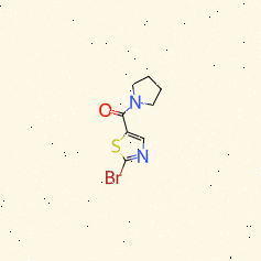 O=C(c1cnc(Br)s1)N1CCCC1